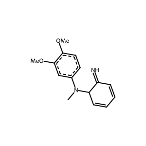 COc1ccc(N(C)C2C=CC=CC2=N)cc1OC